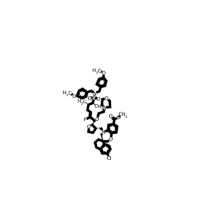 COC(=O)c1ccc2c(c1)N(C[C@@H]1CCO[C@H]1C(OCCN1CCOCC1)/C(F)=C/C[C@H](C)[C@@H](C)S(=O)(=O)N(Cc1ccc(OC)cc1)Cc1ccc(OC)cc1)C[C@@]1(CCCc3cc(Cl)ccc31)CO2